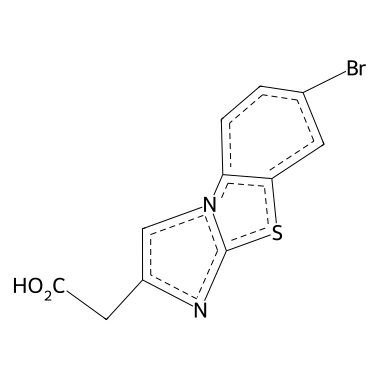 O=C(O)Cc1cn2c(n1)sc1cc(Br)ccc12